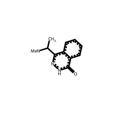 CNC(C)c1n[nH]c(=O)c2ccccc12